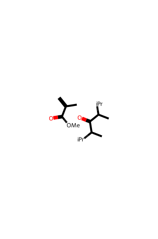 C=C(C)C(=O)OC.CC(C)C(C)C(=O)C(C)C(C)C